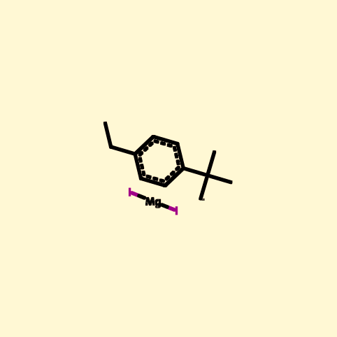 [CH2]C(C)(C)c1ccc(CC)cc1.[I][Mg][I]